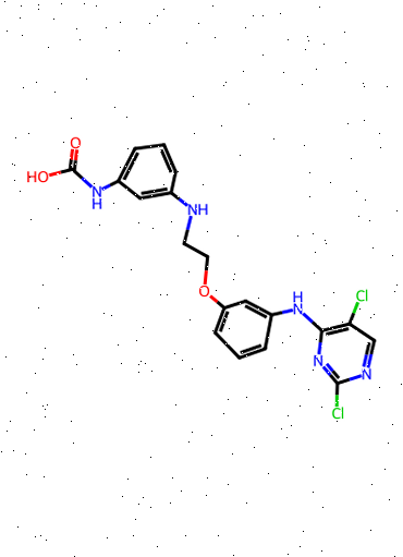 O=C(O)Nc1cccc(NCCOc2cccc(Nc3nc(Cl)ncc3Cl)c2)c1